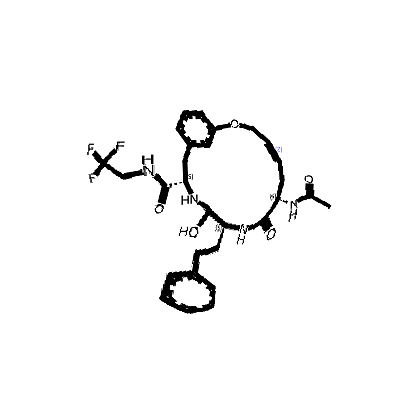 CC(=O)N[C@H]1C/C=C\COc2cccc(c2)C[C@@H](C(=O)NCC(F)(F)F)NC(O)[C@H](CCc2ccccc2)NC1=O